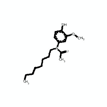 CCCCCCCCN(C(C)=O)c1ccc(O)c(OC)c1